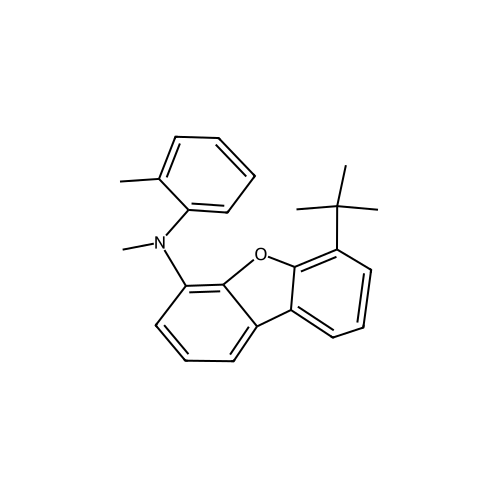 Cc1ccccc1N(C)c1cccc2c1oc1c(C(C)(C)C)cccc12